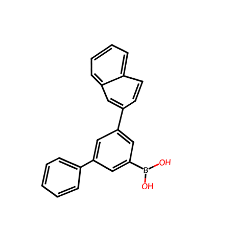 OB(O)c1cc(-c2ccccc2)cc(-c2ccc3ccccc3c2)c1